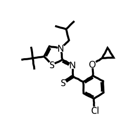 CC(C)Cn1cc(C(C)(C)C)sc1=NC(=S)c1cc(Cl)ccc1OC1CC1